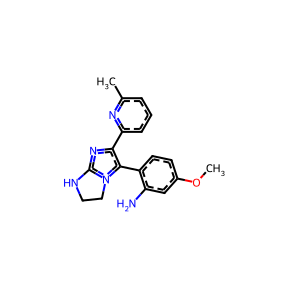 COc1ccc(-c2c(-c3cccc(C)n3)nc3n2CCN3)c(N)c1